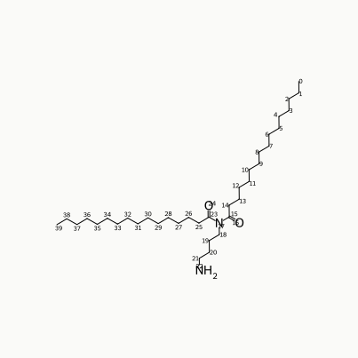 CCCCCCCCCCCCCCCC(=O)N(CCCCN)C(=O)CCCCCCCCCCCCCCC